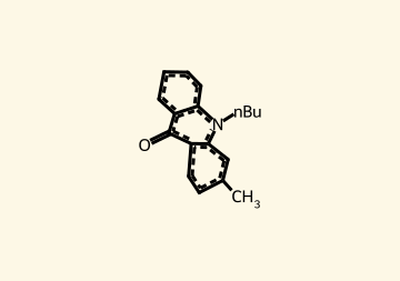 CCCCn1c2ccccc2c(=O)c2ccc(C)cc21